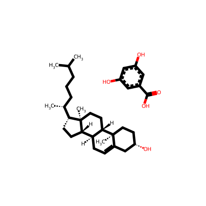 CC(C)CCC[C@@H](C)[C@H]1CC[C@H]2[C@@H]3CC=C4C[C@@H](O)CC[C@]4(C)[C@H]3CC[C@]12C.O=C(O)c1cc(O)cc(O)c1